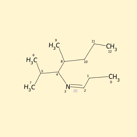 CC/C=N\C(C(C)C)C(C)CCC